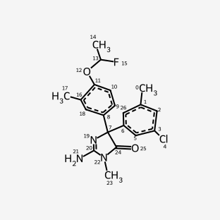 Cc1cc(Cl)cc(C2(c3ccc(OC(C)F)c(C)c3)N=C(N)N(C)C2=O)c1